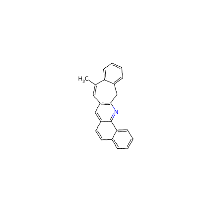 CC1=Cc2cc3ccc4ccccc4c3nc2Cc2ccccc21